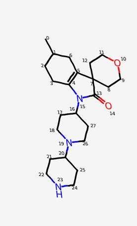 CC1CCC2=C(C1)C1(CCOCC1)C(=O)N2C1CCN(C2CCNCC2)CC1